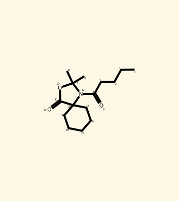 CCCCC(=O)N1C(C)(C)OC(=O)C12CCCCC2